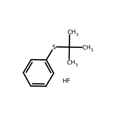 CC(C)(C)Sc1ccccc1.F